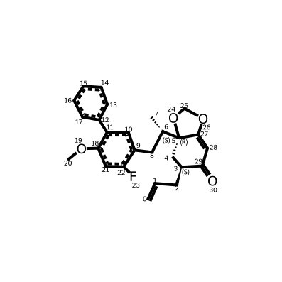 C=CC[C@H]1C[C@]2([C@@H](C)Cc3cc(-c4ccccc4)c(OC)cc3F)OCOC2=CC1=O